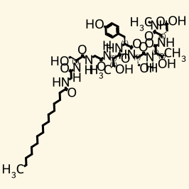 CCCCCCCCCCCCCCCC(=O)NCC(=O)N[C@@H](CO)C(=O)NCC(=O)N[C@H](C(=O)N[C@@H](Cc1ccc(O)cc1)C(=O)N[C@@H](CO)C(=O)N[C@H](C(=O)N[C@@H](CC(=O)O)C(=O)NC)[C@@H](C)O)[C@@H](C)O